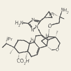 CC(C)[C@@H](C)[C@@]1(C)CC[C@]2(C)[C@H]3CC[C@@H]4[C@@]5(COC[C@]4(C)[C@@H](OC[C@](C)(N)C(C)C)[C@H](n4nc(N)nc4C4CC4)C5)C3=CC[C@@]2(C)[C@@H]1C(=O)O